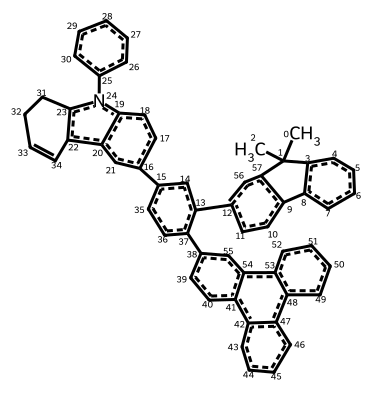 CC1(C)c2ccccc2-c2ccc(-c3cc(-c4ccc5c(c4)c4c(n5-c5ccccc5)CCC=C4)ccc3-c3ccc4c5ccccc5c5ccccc5c4c3)cc21